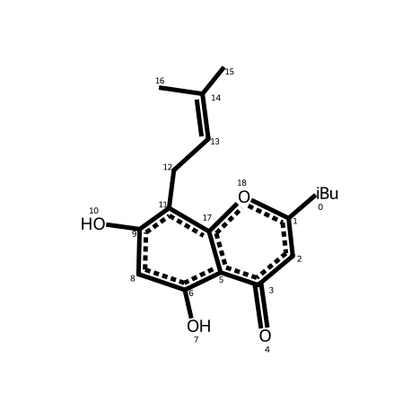 CCC(C)c1cc(=O)c2c(O)cc(O)c(CC=C(C)C)c2o1